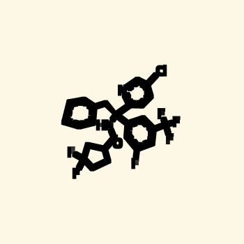 O=C(N[C@@](Cc1ccccc1)(c1cc(F)cc(C(F)(F)F)c1)c1ccc(Cl)cn1)C1CCC(F)(F)C1